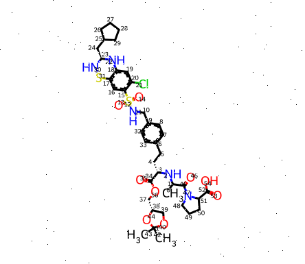 CC(N[C@@H](CCc1ccc(CNS(=O)(=O)c2cc3c(cc2Cl)N[C@H](CC2CCCC2)NS3)cc1)C(=O)OC[C@@H]1COC(C)(C)O1)C(=O)N1CCCC1C(=O)O